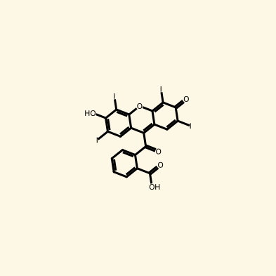 O=C(O)c1ccccc1C(=O)c1c2cc(I)c(=O)c(I)c-2oc2c(I)c(O)c(I)cc12